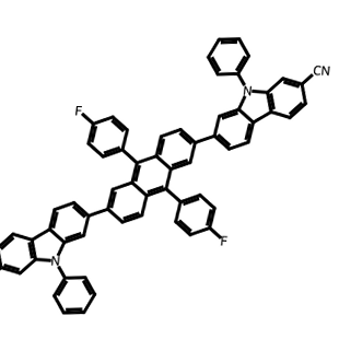 N#Cc1ccc2c3ccc(-c4ccc5c(-c6ccc(F)cc6)c6cc(-c7ccc8c9ccc(C#N)cc9n(-c9ccccc9)c8c7)ccc6c(-c6ccc(F)cc6)c5c4)cc3n(-c3ccccc3)c2c1